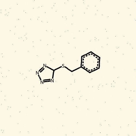 c1ccc(CSC2N=NN=N2)cc1